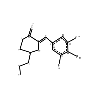 CCCC1CCC(=O)C(=Cc2cc(F)c(F)c(F)c2)C1